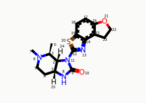 C[C@H]1[C@H]2[C@@H](CCN1C)NC(=O)N2c1nc2c3c(ccc2s1)OCC3